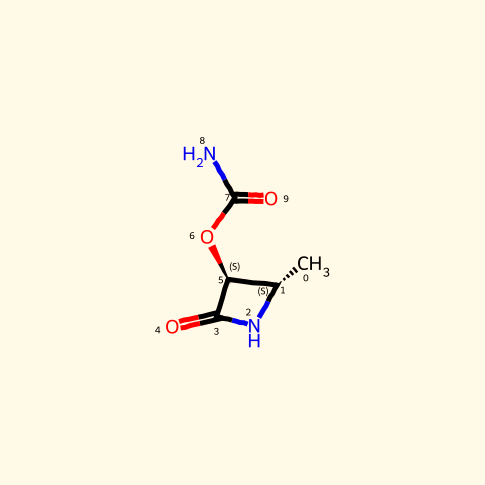 C[C@@H]1NC(=O)[C@H]1OC(N)=O